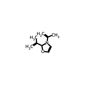 C=C(C)C1OC=CN1C(=C)C